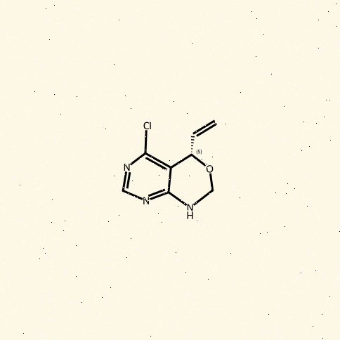 C=C[C@@H]1OCNc2ncnc(Cl)c21